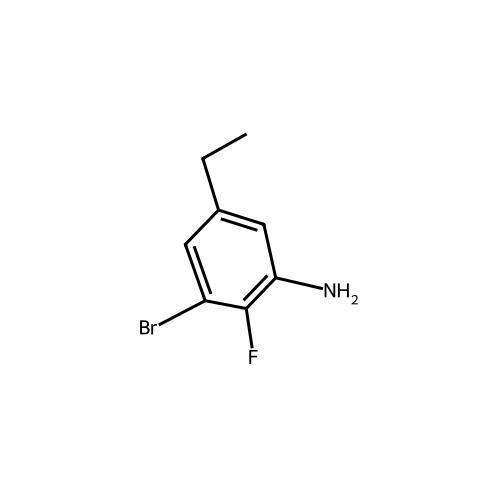 CCc1cc(N)c(F)c(Br)c1